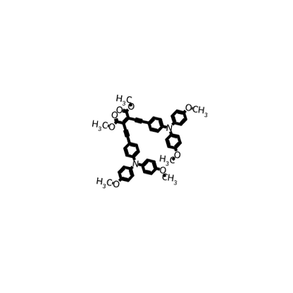 COC(=O)/C(C#Cc1ccc(N(c2ccc(OC)cc2)c2ccc(OC)cc2)cc1)=C(/C#Cc1ccc(N(c2ccc(OC)cc2)c2ccc(OC)cc2)cc1)C(=O)OC